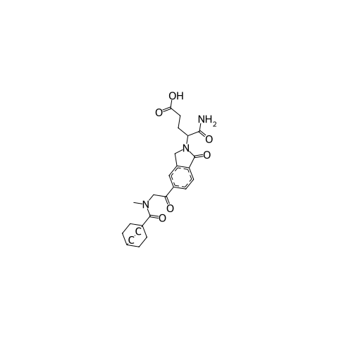 CN(CC(=O)c1ccc2c(c1)CN(C(CCC(=O)O)C(N)=O)C2=O)C(=O)C12CCC(CC1)CC2